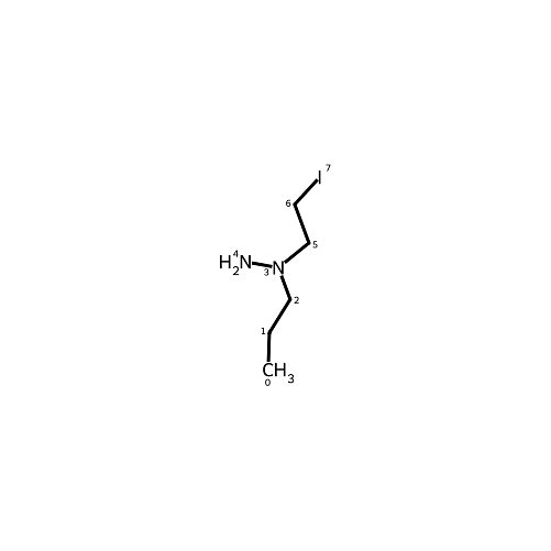 CCCN(N)CCI